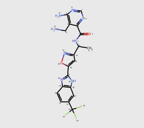 CC(NC(=O)c1ncnc(N)c1CN)c1cc(-c2nc3ccc(C(F)(F)F)cc3[nH]2)on1